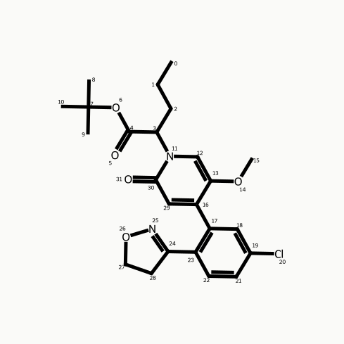 CCCC(C(=O)OC(C)(C)C)n1cc(OC)c(-c2cc(Cl)ccc2C2=NOCC2)cc1=O